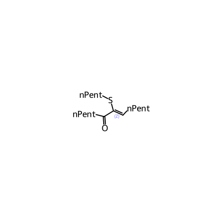 CCCCC/C=C(\SCCCCC)C(=O)CCCCC